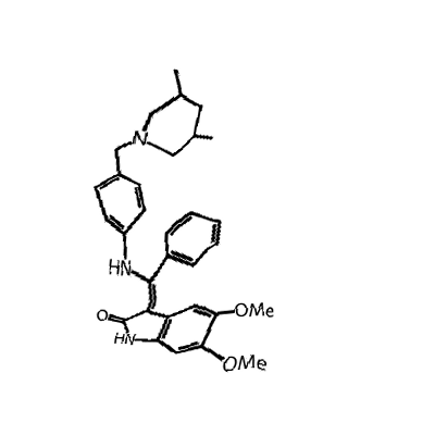 COc1cc2c(cc1OC)/C(=C(/Nc1ccc(CN3CC(C)CC(C)C3)cc1)c1ccccc1)C(=O)N2